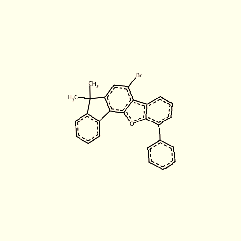 CC1(C)c2ccccc2-c2c1cc(Br)c1c2oc2c(-c3ccccc3)cccc21